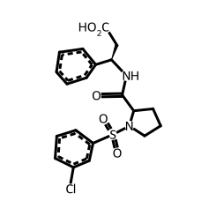 O=C(O)C[C@@H](NC(=O)C1CCCN1S(=O)(=O)c1cccc(Cl)c1)c1ccccc1